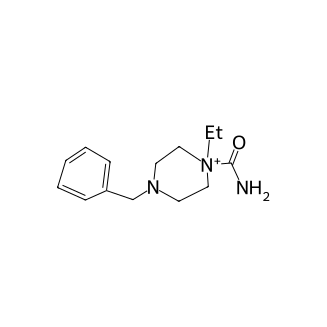 CC[N+]1(C(N)=O)CCN(Cc2ccccc2)CC1